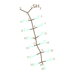 CC([SiH3])C(F)(F)C(F)(F)C(F)(F)C(F)(F)C(F)(F)C(F)(F)F